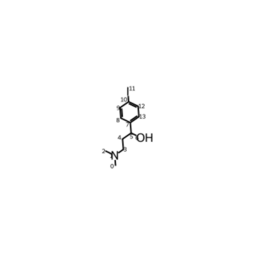 CN(C)CCC(O)c1ccc(I)cc1